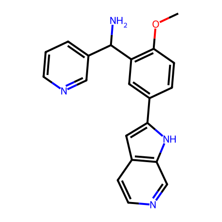 COc1ccc(-c2cc3ccncc3[nH]2)cc1C(N)c1cccnc1